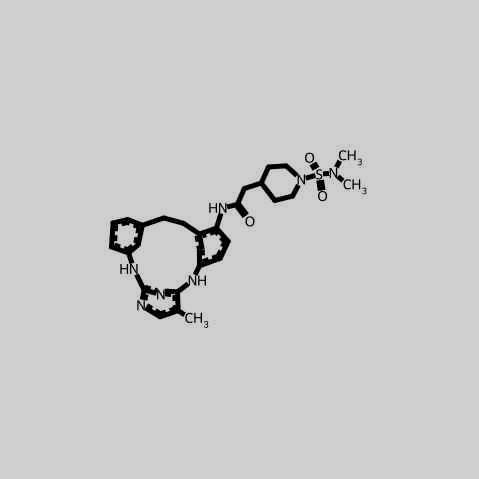 Cc1cnc2nc1Nc1ccc(NC(=O)CC3CCN(S(=O)(=O)N(C)C)CC3)c(c1)CCc1cccc(c1)N2